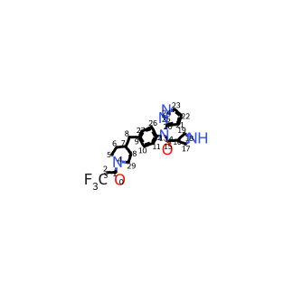 O=C(CC(F)(F)F)N1CCC(Cc2ccc(N(C(=O)C3CNC3)c3cccnn3)cc2)CC1